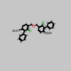 COc1ccc(COCc2ccc(OC)c(-c3ccccc3)c2Cl)c(Cl)c1-c1ccccc1